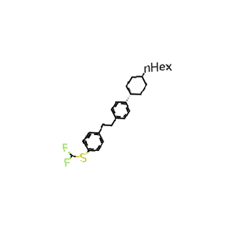 CCCCCC[C@H]1CC[C@H](c2ccc(CCc3ccc(SC(F)F)cc3)cc2)CC1